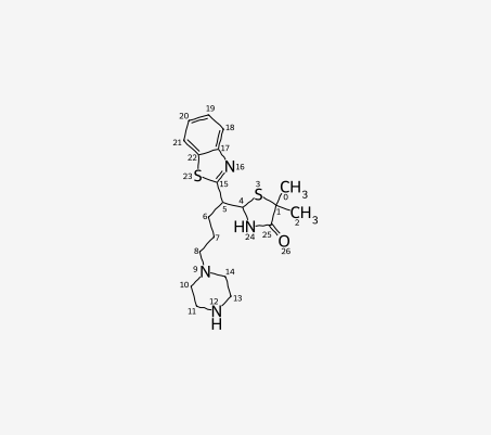 CC1(C)SC(C(CCCN2CCNCC2)c2nc3ccccc3s2)NC1=O